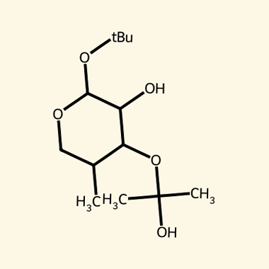 CC1COC(OC(C)(C)C)C(O)C1OC(C)(C)O